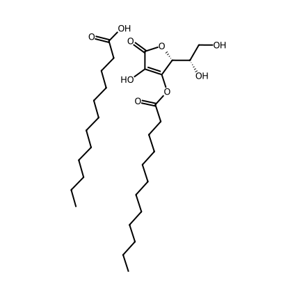 CCCCCCCCCCCC(=O)O.CCCCCCCCCCCC(=O)OC1=C(O)C(=O)O[C@@H]1[C@@H](O)CO